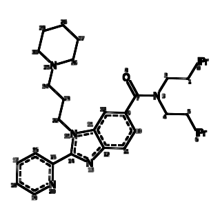 CC(C)CCN(CCC(C)C)C(=O)c1ccc2nc(-c3ccccn3)n(CCCN3CCCCC3)c2c1